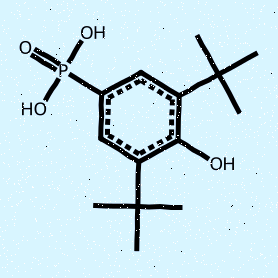 CC(C)(C)c1cc(P(=O)(O)O)cc(C(C)(C)C)c1O